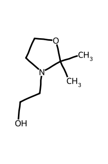 CC1(C)OCCN1CCO